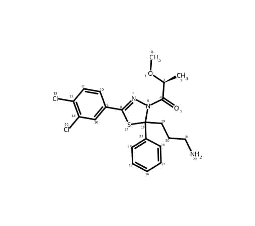 CO[C@@H](C)C(=O)N1N=C(c2ccc(Cl)c(Cl)c2)SC1(CCCN)c1ccccc1